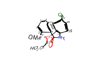 COc1ccccc1C1(OCC(=O)O)C(=O)Nc2ccc(Cl)cc21